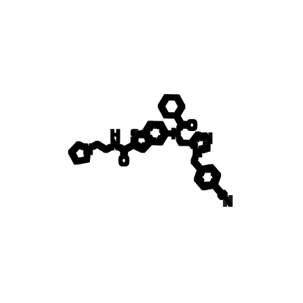 N#Cc1ccc(Cn2cncc2CN(C(=O)C2CCCCC2)c2ccc3sc(C(=O)NCCN4CCCC4)cc3c2)cc1